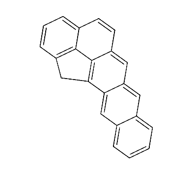 c1ccc2cc3c4c5c(ccc6cccc(c65)C4)cc3cc2c1